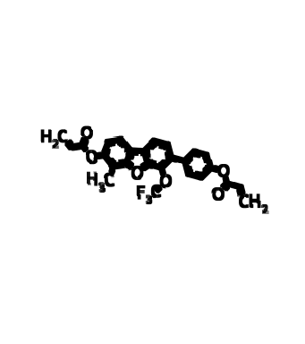 C=CC(=O)Oc1ccc(-c2ccc3c(oc4c(C)c(OC(=O)C=C)ccc43)c2OC(F)(F)F)cc1